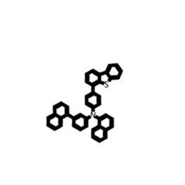 c1cc(-c2cccc3ccccc23)cc(N(c2ccc(-c3cccc4c3sc3ccccc34)cc2)c2cccc3ccccc23)c1